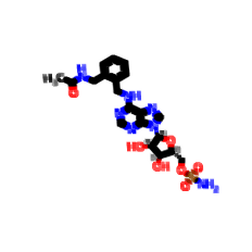 CC(=O)NCc1ccccc1CNc1ncnc2c1ncn2[C@@H]1O[C@H](COS(N)(=O)=O)[C@@H](O)[C@H]1O